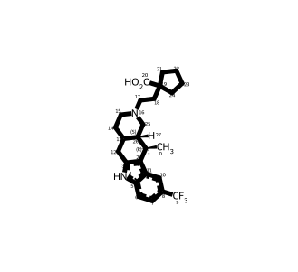 C[C@H]1c2c([nH]c3ccc(C(F)(F)F)cc23)CC2CCN(CCC3(C(=O)O)CCCC3)C[C@@H]21